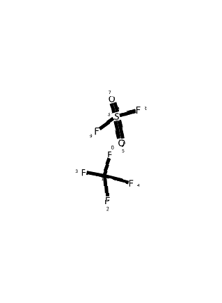 FC(F)(F)F.O=S(=O)(F)F